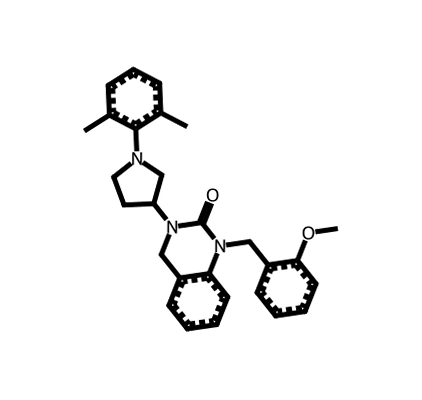 COc1ccccc1CN1C(=O)N(C2CCN(c3c(C)cccc3C)C2)Cc2ccccc21